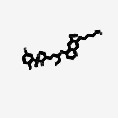 C=C/C(=C\C=C(/CF)Oc1ccnc2cc(OCCCN)c(OC)cc12)NS(=O)(=O)c1cc(F)ccc1F